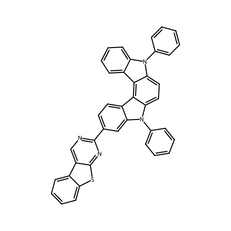 c1ccc(-n2c3ccccc3c3c4c5ccc(-c6ncc7c(n6)sc6ccccc67)cc5n(-c5ccccc5)c4ccc32)cc1